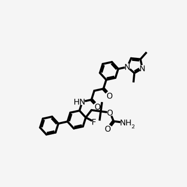 Cc1cn(-c2cccc(C(=O)CC(=O)NC3C=C(c4ccccc4)C=CC3(F)CC(C)(C)OC(N)=O)c2)c(C)n1